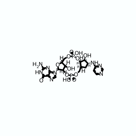 Nc1nc2c(ncn2[C@@H]2O[C@@H]3COP(=O)(O)O[C@@H]4[C@@H](COP(=O)(O)O[C@@H]2[C@@H]3O)C[C@@H](Nc2ccncn2)[C@@H]4O)c(=O)[nH]1